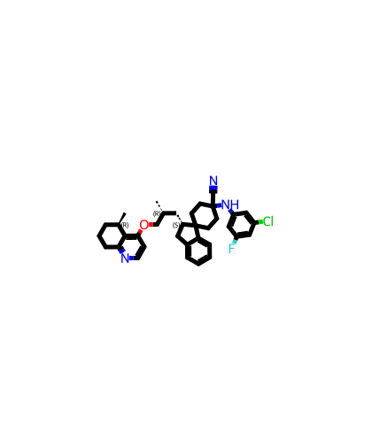 C[C@@H](COc1ccnc2c1[C@H](C)CCC2)C[C@H]1Cc2ccccc2C12CCC(C#N)(Nc1cc(F)cc(Cl)c1)CC2